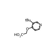 CC(C)(C)c1cnccc1OCC(=O)O